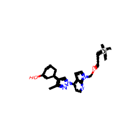 Cc1nn(-c2ccnc3c2ccn3COCC[Si](C)(C)C)cc1C1CCCC(O)C1